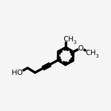 COc1ccc(C#CCCO)cc1C